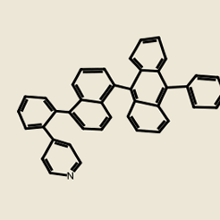 c1ccc(-c2c3ccccc3c(-c3cccc4c(-c5ccccc5-c5ccncc5)cccc34)c3ccccc23)cc1